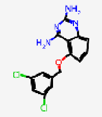 Nc1nc(N)c2c(OCc3cc(Cl)cc(Cl)c3)cccc2n1